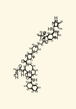 CN[C@@H](C)C(=O)N[C@H]1CN(C(=O)c2cnc(N3CCN(CCCOc4cc5ncnc(Nc6n[nH]c(C)c6C)c5cc4S(=O)(=O)C(C)(C)C)CC3)cn2)CCC2CC[C@@H](C(=O)N[C@@H]3CCCc4ccccc43)N2C1=O